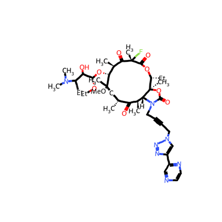 CCO[C@@H](O[C@@H]1[C@@H](C)C(=O)[C@](C)(F)C(=O)O[C@H](CC)[C@@]2(C)OC(=O)N(CC#CCn3cc(-c4cnccn4)nn3)[C@@H]2[C@@H](C)C(=O)[C@H](C)C[C@@]1(C)OC)C(O)C(CC)N(C)C